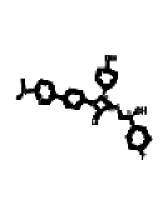 CN(C)c1ccc(-c2ccc(N3C(=O)[C@H](SC[C@H](O)c4ccc(F)cc4)[C@H]3c3ccc(O)cc3)cc2)cn1